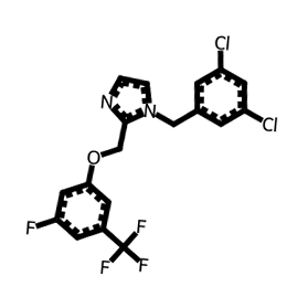 Fc1cc(OCc2nccn2Cc2cc(Cl)cc(Cl)c2)cc(C(F)(F)F)c1